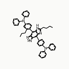 CCCCc1nc2c(-c3ccc(N(c4ccccc4)c4ccccc4)cc3)c3nsnc3c(-c3ccc(N(c4ccccc4)c4ccccc4)cc3CCC)c2[nH]1